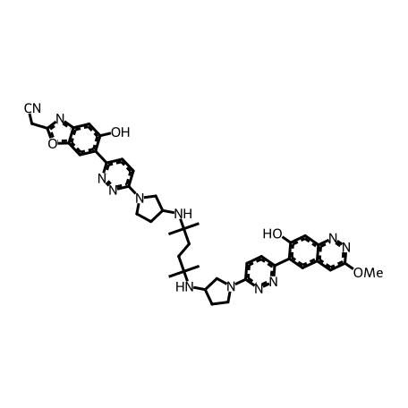 COc1cc2cc(-c3ccc(N4CCC(NC(C)(C)CCC(C)(C)NC5CCN(c6ccc(-c7cc8oc(CC#N)nc8cc7O)nn6)C5)C4)nn3)c(O)cc2nn1